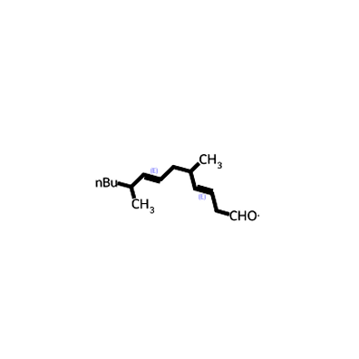 CCCCC(C)/C=C/CC(C)/C=C/C[C]=O